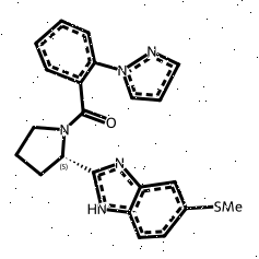 CSc1ccc2[nH]c([C@@H]3CCCN3C(=O)c3ccccc3-n3cccn3)nc2c1